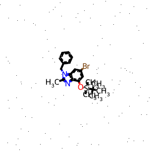 Cc1nc2c(O[Si](C)(C)C(C)(C)C)cc(Br)cc2n1Cc1ccccc1